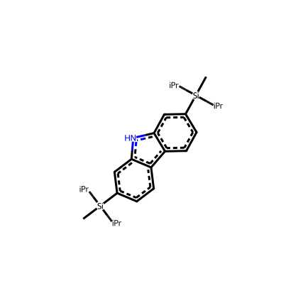 CC(C)[Si](C)(c1ccc2c(c1)[nH]c1cc([Si](C)(C(C)C)C(C)C)ccc12)C(C)C